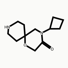 O=C1COC2(CCNCC2)CN1C1CCC1